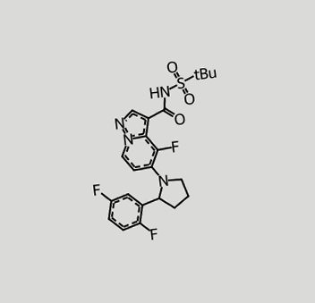 CC(C)(C)S(=O)(=O)NC(=O)c1cnn2ccc(N3CCCC3c3cc(F)ccc3F)c(F)c12